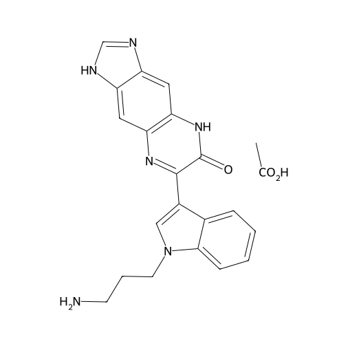 CC(=O)O.NCCCn1cc(-c2nc3cc4[nH]cnc4cc3[nH]c2=O)c2ccccc21